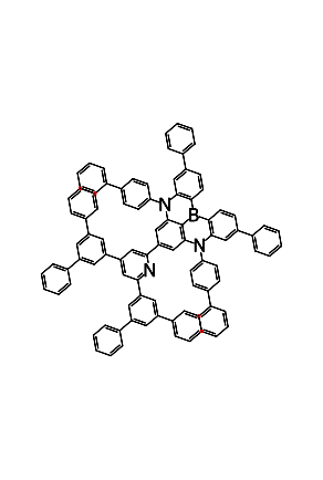 c1ccc(-c2ccc(N3c4cc(-c5ccccc5)ccc4B4c5ccc(-c6ccccc6)cc5N(c5ccc(-c6ccccc6)cc5)c5cc(-c6cc(-c7cc(-c8ccccc8)cc(-c8ccccc8)c7)cc(-c7cc(-c8ccccc8)cc(-c8ccccc8)c7)n6)cc3c54)cc2)cc1